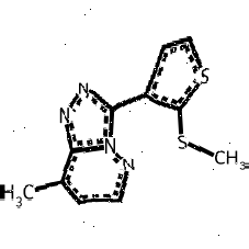 CSc1sccc1-c1nnc2c(C)ccnn12